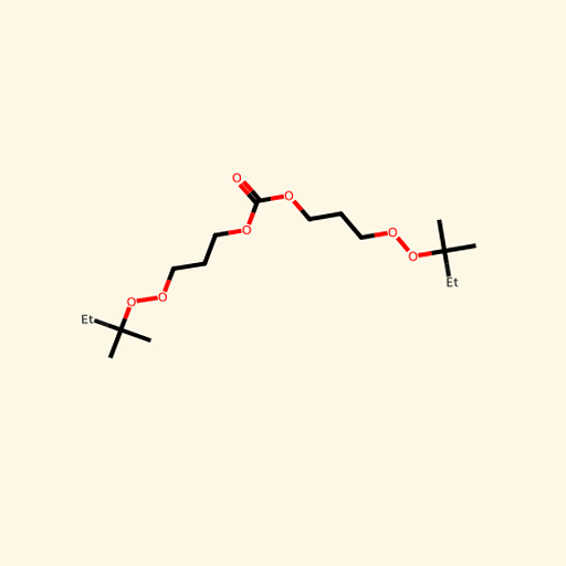 CCC(C)(C)OOCCCOC(=O)OCCCOOC(C)(C)CC